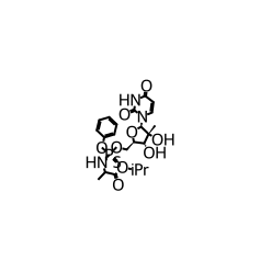 CC(C)OC(=O)C(C)NP(=S)(OC[C@H]1O[C@@H](n2ccc(=O)[nH]c2=O)[C@](C)(O)[C@@H]1O)Oc1ccccc1